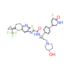 O=C(N[C@H](CCN1CCC(O)CC1)c1ccc(-c2c[nH]c(=O)c(F)c2)cc1)c1nc2cc3c(nc2s1)CC[C@H](C1(C(F)(F)F)CC1)C3